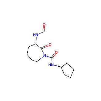 O=CN[C@H]1CCCCN(C(=O)NC2CCCC2)C1=O